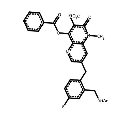 CCOC(=O)c1c(OC(=O)c2ccccc2)c2ncc(Cc3ccc(F)cc3CNC(C)=O)cc2n(C)c1=O